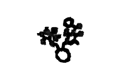 COC(=O)C(OCC1CCCCCCCC1Cn1cc(C)c(=O)n(C(=O)c2ccccc2)c1=O)P(=O)(OC)OC